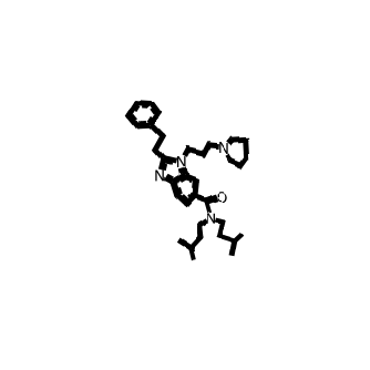 CC(C)CCN(CCC(C)C)C(=O)c1ccc2nc(CCc3ccccc3)n(CCCN3CCCCC3)c2c1